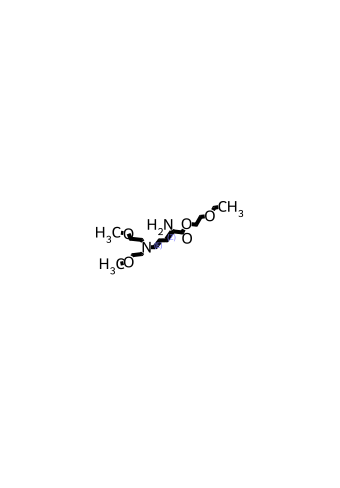 CCOCCOC(=O)/C(N)=C/C=C/N(CCOC)CCOC